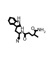 CC(C[CH]C(=O)NC(C#N)Cc1c[nH]c2ccccc12)C(N)=O